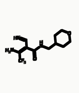 N=C/C(C(=O)NCC1CCOCC1)=C(\N)C(F)(F)F